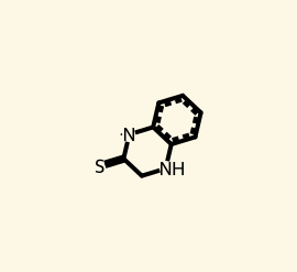 S=C1CNc2ccccc2[N]1